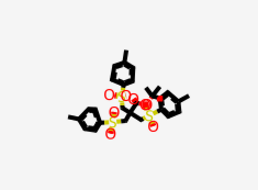 Cc1ccc(S(=O)(=O)CC(CS(=O)(=O)c2ccc(C)cc2)(CS(=O)(=O)c2ccc(C)cc2)C(=O)OC(C)(C)C)cc1